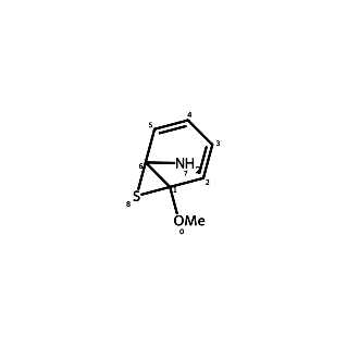 COC12C=CC=CC1(N)S2